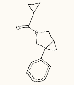 O=C(C1CC1)N1CC2CC2(c2ccccc2)C1